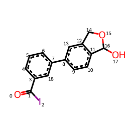 O=C(I)c1cccc(-c2ccc3c(c2)COC3O)c1